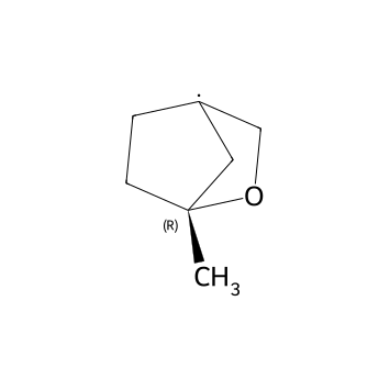 C[C@]12CC[C](CO1)C2